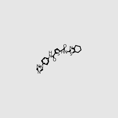 O=C(Nc1ccc(-n2cncn2)cc1)c1ccc(C(=O)Nc2nc3c(s2)CCCC3)s1